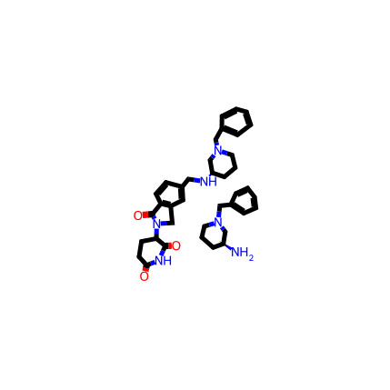 N[C@H]1CCCN(Cc2ccccc2)C1.O=C1CCC(N2Cc3cc(CN[C@H]4CCCN(Cc5ccccc5)C4)ccc3C2=O)C(=O)N1